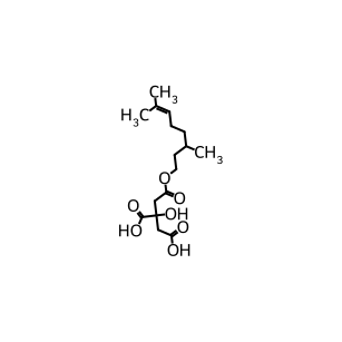 CC(C)=CCCC(C)CCOC(=O)CC(O)(CC(=O)O)C(=O)O